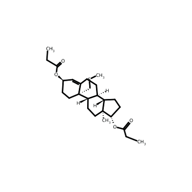 CCC(=O)O[C@H]1CC[C@H]2[C@@H]3CCC4=C[C@H](OC(=O)CC)CC[C@]4(CSC)[C@H]3CC[C@]12C